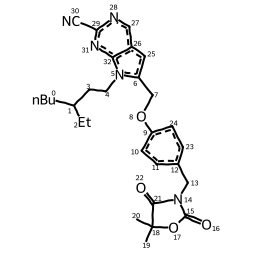 CCCCC(CC)CCn1c(COc2ccc(CN3C(=O)OC(C)(C)C3=O)cc2)cc2cnc(C#N)nc21